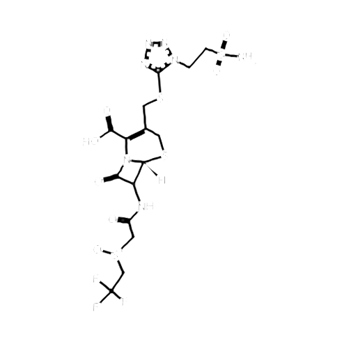 NS(=O)(=O)CCn1nnnc1SCC1=C(C(=O)O)N2C(=O)C(NC(=O)C[S+]([O-])CC(F)(F)F)[C@H]2SC1